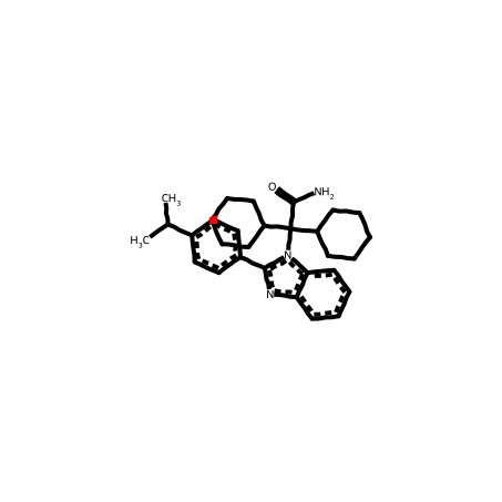 CC(C)c1ccc(-c2nc3ccccc3n2C(C(N)=O)(C2CCCCC2)C2CCCCC2)cc1